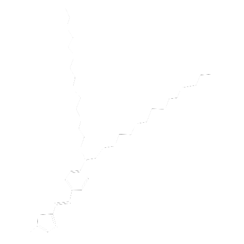 CCOCCOCCOCCOCCON(CCOCCOCCOCCOCCO)c1ccc(/N=N/c2ncc(Br)s2)cc1